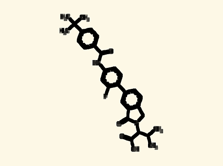 CC(C)C(C(=O)O)N1Cc2ccc(-c3ccc(NC(=O)c4ccc(C(C)(C)C)cc4)cc3F)cc2C1=O